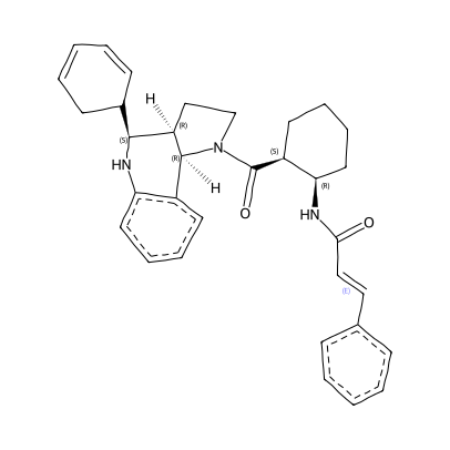 O=C(/C=C/c1ccccc1)N[C@@H]1CCCC[C@@H]1C(=O)N1CC[C@@H]2[C@H](C3C=CC=CC3)Nc3ccccc3[C@@H]21